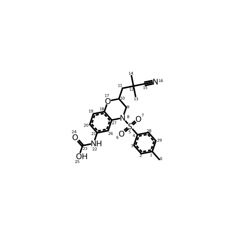 Cc1ccc(S(=O)(=O)N2CC(CC(C)(C)C#N)Oc3ccc(NC(=O)O)cc32)cc1